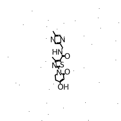 Cc1cnc(CNC(=O)c2sc(N3CCC(O)=CC3=O)nc2C)cn1